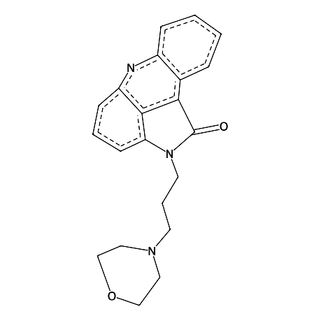 O=C1c2c3ccccc3nc3cccc(c23)N1CCCN1CCOCC1